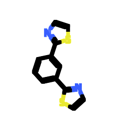 c1cc(-c2nccs2)cc(-c2nccs2)c1